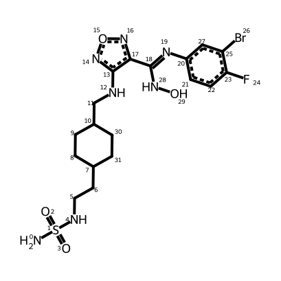 NS(=O)(=O)NCCC1CCC(CNc2nonc2C(=Nc2ccc(F)c(Br)c2)NO)CC1